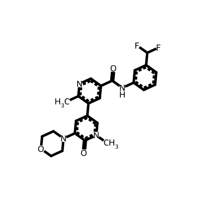 Cc1ncc(C(=O)Nc2cccc(C(F)F)c2)cc1-c1cc(N2CCOCC2)c(=O)n(C)c1